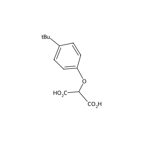 CC(C)(C)c1ccc(OC(C(=O)O)C(=O)O)cc1